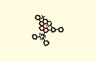 CC1=CCc2cc(C(C)(C)C)cc(-c3ccccc3)c2N1c1c(-c2ccc(-c3ccccc3)cc2)cc(-c2nc(-c3ccccc3)nc(-c3ccccc3)n2)cc1-c1ccc(-c2ccccc2)cc1